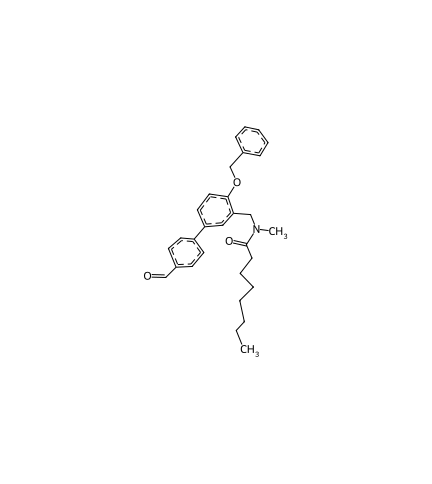 CCCCCCCC(=O)N(C)Cc1cc(-c2ccc(C=O)cc2)ccc1OCc1ccccc1